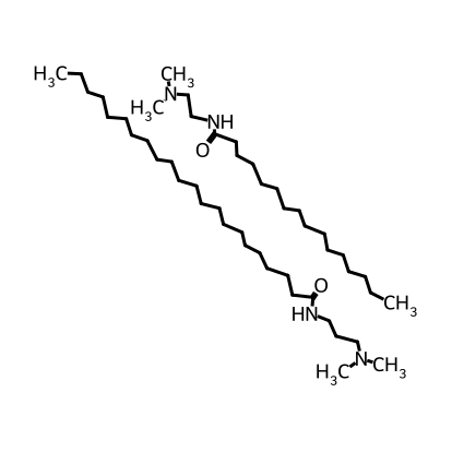 CCCCCCCCCCCCCCCC(=O)NCCN(C)C.CCCCCCCCCCCCCCCCCCCCCC(=O)NCCCN(C)C